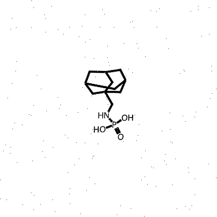 O=P(O)(O)NCC12CC3CC(CC(C3)C1)C2